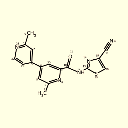 Cc1cc(-c2cc(C)nc(C(=O)Nc3nc(C#N)cs3)c2)ccn1